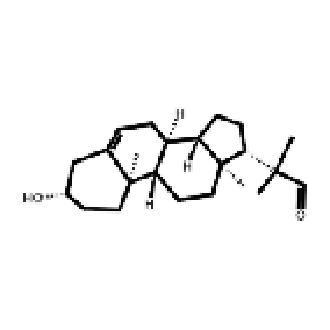 CC(C)(C=O)[C@H]1CC[C@H]2[C@@H]3CC=C4C[C@@H](O)CC[C@]4(C)[C@H]3CC[C@]12C